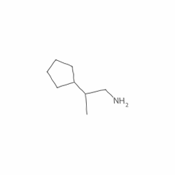 CC(CN)C1CCCC1